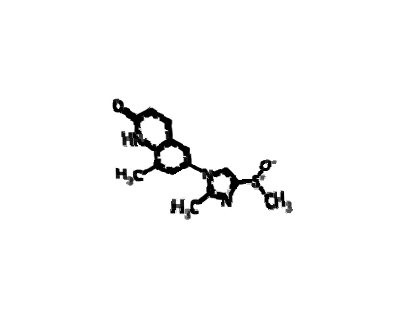 Cc1cc(-n2cc([S+](C)[O-])nc2C)cc2ccc(=O)[nH]c12